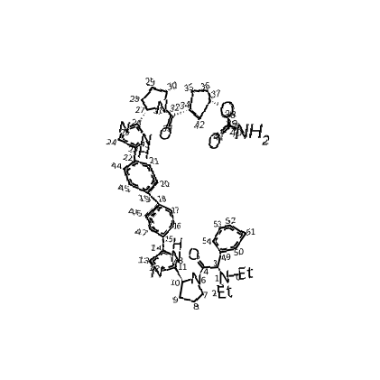 CCN(CC)[C@@H](C(=O)N1CCC[C@H]1c1ncc(-c2ccc(-c3ccc(-c4cnc([C@@H]5CCCN5C(=O)[C@@H]5CC[C@H](OC(N)=O)C5)[nH]4)cc3)cc2)[nH]1)c1ccccc1